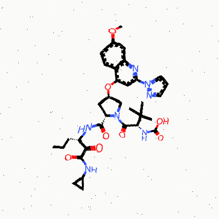 CCC[C@H](NC(=O)[C@@H]1C[C@@H](Oc2cc(-n3cccn3)nc3cc(OC)ccc23)CN1C(=O)[C@@H](NC(=O)O)C(C)(C)C)C(=O)C(=O)NC1CC1